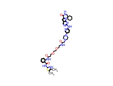 CC1=C(C)SC(NC(=O)c2ccccc2NC(=O)CCOCCOCCNC(=O)CN2CCN(c3ccc(Nc4ncc5cc6n(c5n4)C4(CCCCC4)CNC6=O)nc3)CC2)N1